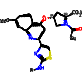 COc1ccc2c(O[C@@H]3C[C@@H](C(=O)O)N(C(=O)C(C)(C)C)C3)cc(-c3csc(NC(C)C)n3)nc2c1